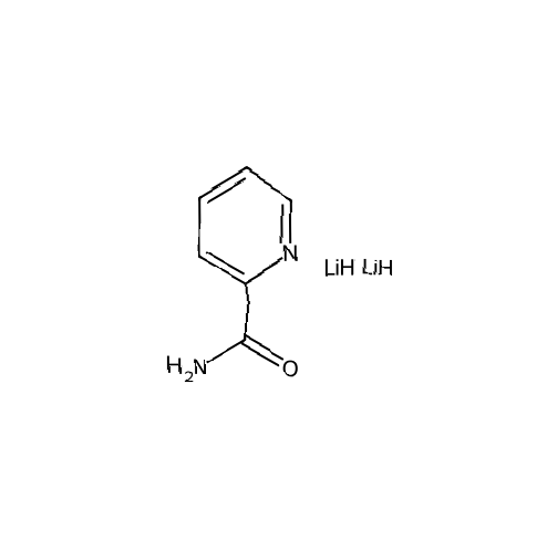 NC(=O)c1ccccn1.[LiH].[LiH]